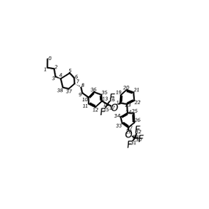 CCCC[C@H]1CC[C@H](CCc2ccc(C(F)(F)Oc3ccccc3-c3ccc(OC(F)(F)F)cc3)cc2)CC1